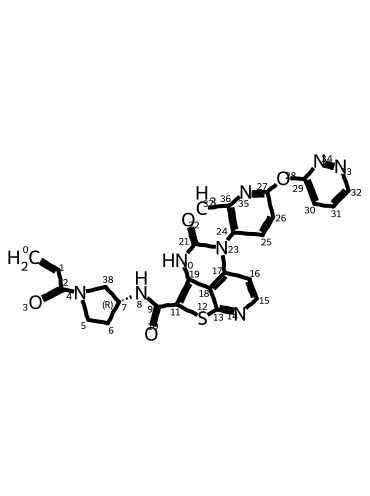 C=CC(=O)N1CC[C@@H](NC(=O)c2sc3nccc4c3c2NC(=O)N4c2ccc(Oc3cccnn3)nc2C)C1